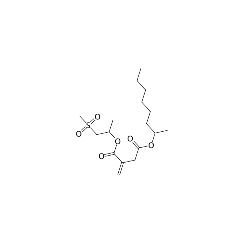 C=C(CC(=O)OC(C)CCCCCC)C(=O)OC(C)CS(C)(=O)=O